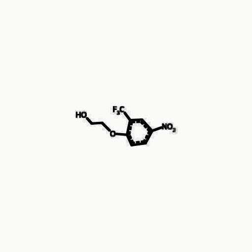 O=[N+]([O-])c1ccc(OCCO)c(C(F)(F)F)c1